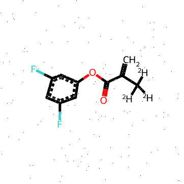 [2H]C([2H])([2H])C(=C)C(=O)Oc1cc(F)cc(F)c1